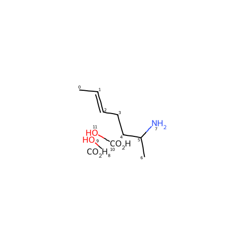 CC=CCCC(C)N.O=C(O)O.O=C(O)O